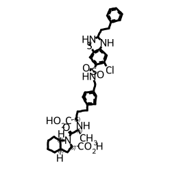 C[C@H](N[C@@H](CCc1ccc(CNS(=O)(=O)c2cc3c(cc2Cl)NC(CCc2ccccc2)NS3)cc1)C(=O)O)C(=O)N1[C@@H]2CCCC[C@@H]2C[C@H]1C(=O)O